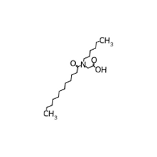 CCCCCCCCCCCC(=O)N(CCCCCC)CC(=O)O